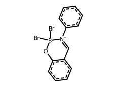 Br[B-]1(Br)Oc2ccccc2C=[N+]1c1ccccc1